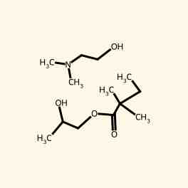 CCC(C)(C)C(=O)OCC(C)O.CN(C)CCO